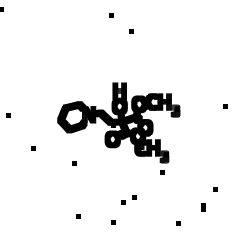 COC(=O)C(O)(CCN1CCCCC1)C(=O)OC